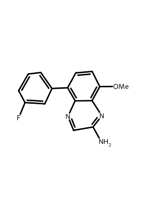 COc1ccc(-c2cccc(F)c2)c2ncc(N)nc12